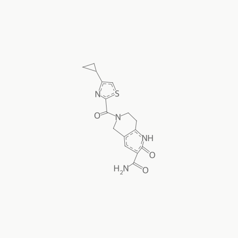 NC(=O)c1cc2c([nH]c1=O)CCN(C(=O)c1nc(C3CC3)cs1)C2